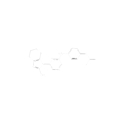 Cc1nc2c(n1-c1cncc(Nc3ccc(OC(F)F)cc3)n1)CCCC2